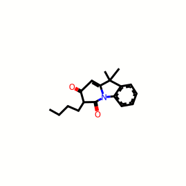 CCCCC1C(=O)C=C2N(C1=O)c1ccccc1C2(C)C